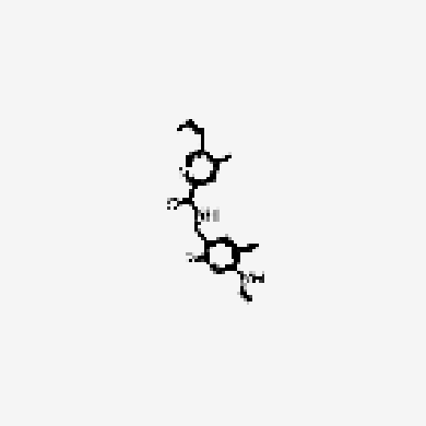 C=CNc1cc(F)c(CNC(=O)c2cc(C)c(/C=C\C)cn2)cc1C